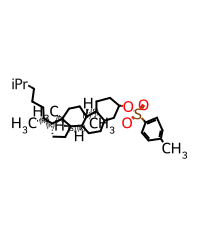 Cc1ccc(S(=O)(=O)OC2CC[C@@]3(C)C(CC[C@H]4[C@@H]5CC[C@H]([C@H](C)CCCC(C)C)[C@@]5(C)CC[C@@H]43)C2)cc1